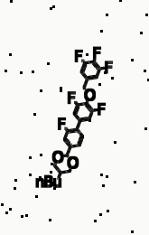 CCCCC1COC(c2ccc(-c3cc(F)c(OCc4cc(F)c(F)c(F)c4)c(F)c3)c(F)c2)OC1